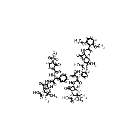 CC1(C)S[C@@H]2[C@H](NC(=O)[C@H](C(=O)O)c3ccsc3)C(=O)N2[C@H]1C(=O)O.CC1(C)S[C@@H]2[C@H](NC(=O)[C@H](NC(=O)N3CCN(S(C)(=O)=O)C3=O)c3ccccc3)C(=O)N2[C@H]1C(=O)O.COc1cccc(OC)c1C(=O)N[C@@H]1C(=O)N2[C@@H]1SC(C)(C)[C@@H]2C(=O)O